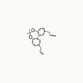 C=CCc1ccc2c(c1)-c1cc(CC=C)ccc1OC(C)(C)O2